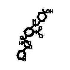 CC1(O)CCC(CNc2ccc(S(=O)(=O)NC(=O)c3cccnc3)cc2[N+](=O)[O-])CC1